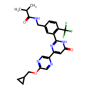 CC(C)C(=O)NCc1ccc(C(F)(F)F)c(-c2nc(-c3cnc(OCC4CC4)cn3)cc(=O)[nH]2)c1